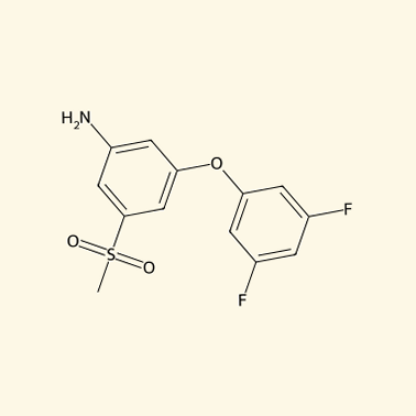 CS(=O)(=O)c1cc(N)cc(Oc2cc(F)cc(F)c2)c1